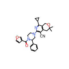 CC1(C)Cc2c(C#N)c(N3CCN(C(=O)c4ccoc4)C(c4ccccc4)C3)nc(C3CC3)c2CO1